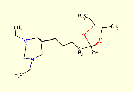 CCOC(C)(OCC)[SiH2]CCCC1CN(CC)CN(CC)C1